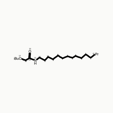 CC(C)CCCCCCCCCCCCNC(=O)COCC(C)C